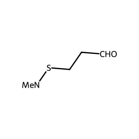 CNSCCC=O